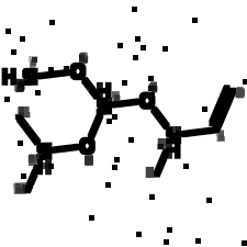 C=C[SiH](C)O[SiH](O[SiH3])O[SiH](C)C